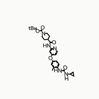 Cc1cc(Oc2ccnc(NC(=O)C3CCN(C(=O)OC(C)(C)C)CC3)c2)ccc1NC(=O)NC1CC1